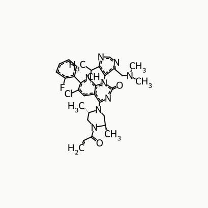 C=CC(=O)N1C[C@H](C)N(c2nc(=O)n(-c3c(CN(C)C)ncnc3C(C)C)c3nc(-c4ccccc4F)c(Cl)cc23)C[C@H]1C